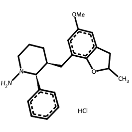 COc1cc2c(c(C[C@@H]3CCCN(N)[C@@H]3c3ccccc3)c1)OC(C)C2.Cl